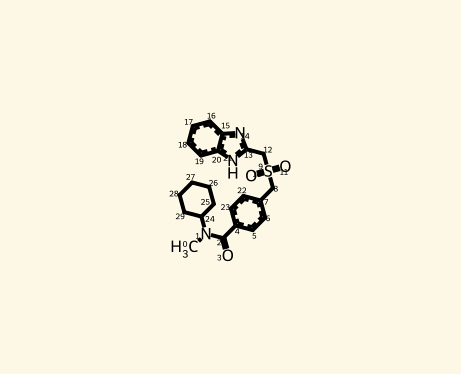 CN(C(=O)c1ccc(CS(=O)(=O)Cc2nc3ccccc3[nH]2)cc1)C1CCCCC1